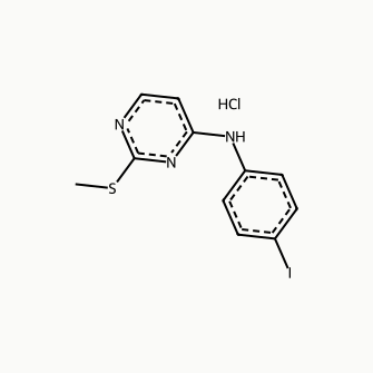 CSc1nccc(Nc2ccc(I)cc2)n1.Cl